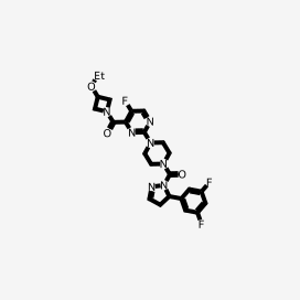 CCOC1CN(C(=O)c2nc(N3CCN(C(=O)N4N=CCC4c4cc(F)cc(F)c4)CC3)ncc2F)C1